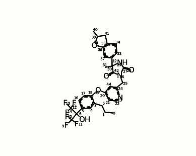 CCCc1cc(C(O)(C(F)(F)F)C(F)(F)F)ccc1Oc1ccnc(CN2C(=O)NC(C)(c3ccc4c(c3)OC(C)C4)C2=O)c1